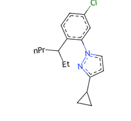 CCCC(CC)c1ccc(Cl)cc1-n1ccc(C2CC2)n1